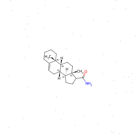 C[C@]12CCCCC1=CC[C@@H]1[C@H]2CC[C@]2(C)C(C(N)=O)CC[C@@H]12